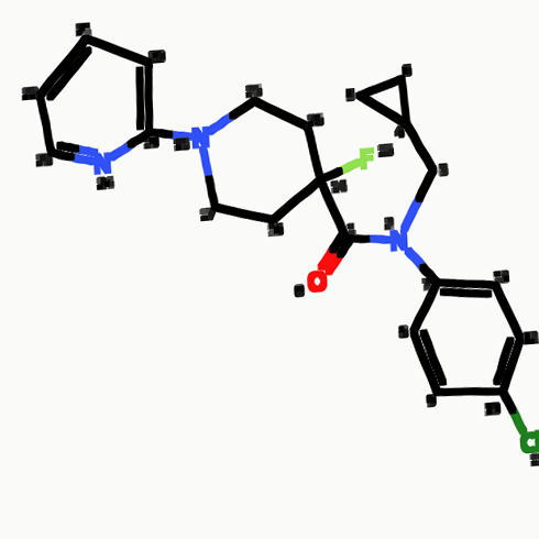 O=C(N(CC1CC1)c1ccc(Cl)cc1)C1(F)CCN(c2ccccn2)CC1